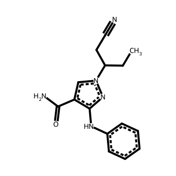 CCC(CC#N)n1cc(C(N)=O)c(Nc2ccccc2)n1